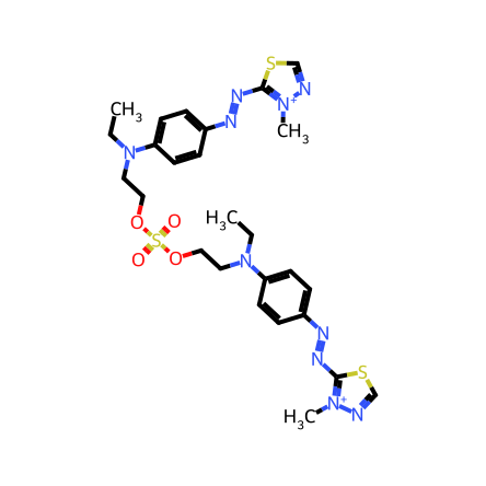 CCN(CCOS(=O)(=O)OCCN(CC)c1ccc(/N=N/c2scn[n+]2C)cc1)c1ccc(/N=N/c2scn[n+]2C)cc1